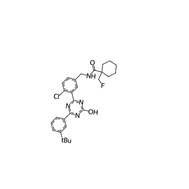 CC(C)(C)c1cccc(-c2nc(O)nc(-c3cc(CNC(=O)C4(CF)CCCCC4)ccc3Cl)n2)c1